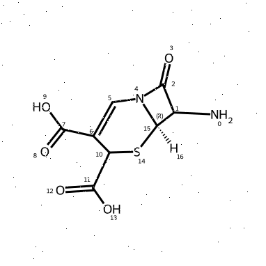 NC1C(=O)N2C=C(C(=O)O)C(C(=O)O)S[C@H]12